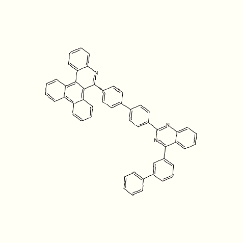 c1ccc(-c2cccc(-c3nc(-c4ccc(-c5ccc(-c6nc7ccccc7c7c8ccccc8c8ccccc8c67)cc5)cc4)nc4ccccc34)c2)cc1